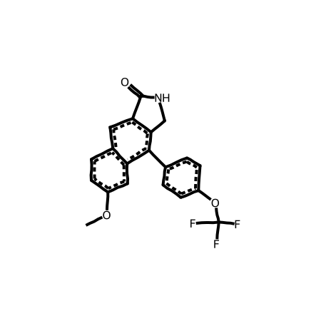 COc1ccc2cc3c(c(-c4ccc(OC(F)(F)F)cc4)c2c1)CNC3=O